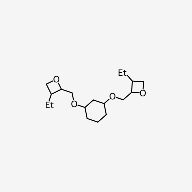 CCC1COC1COC1CCCC(OCC2OCC2CC)C1